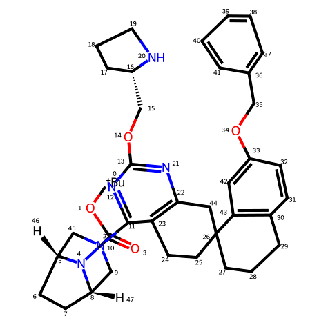 CC(C)(C)OC(=O)N1[C@@H]2CC[C@H]1CN(c1nc(OC[C@@H]3CCCN3)nc3c1CCC1(CCCc4ccc(OCc5ccccc5)cc41)C3)C2